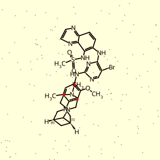 COc1cc(N2C[C@H]3C[C@@H](C2)C3N2CCN(C)CC2)c(C)cc1Nc1ncc(Br)c(Nc2ccc3nccnc3c2NS(C)(=O)=O)n1